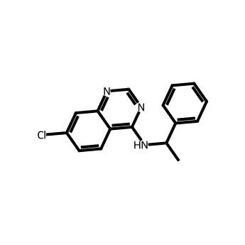 CC(Nc1ncnc2cc(Cl)ccc12)c1ccccc1